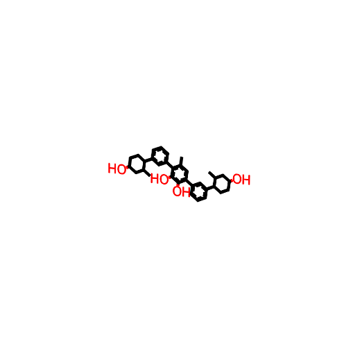 Cc1cc(-c2cccc(C3CCC(O)CC3C)c2)c(O)c(O)c1-c1cccc(C2CCC(O)CC2C)c1